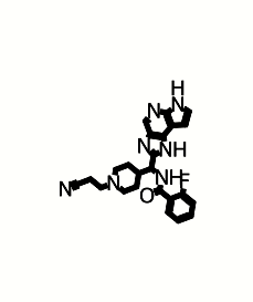 N#CCCN1CCC(C(NC(=O)c2ccccc2F)c2nc3cnc4[nH]ccc4c3[nH]2)CC1